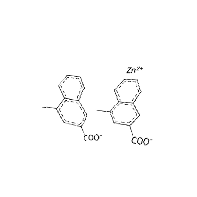 Cc1cc(C(=O)[O-])cc2ccccc12.Cc1cc(C(=O)[O-])cc2ccccc12.[Zn+2]